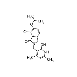 CC1=CC(C)=C(CN2Cc3ccc(OC(C)C)c(Cl)c3C2=O)C(O)N1